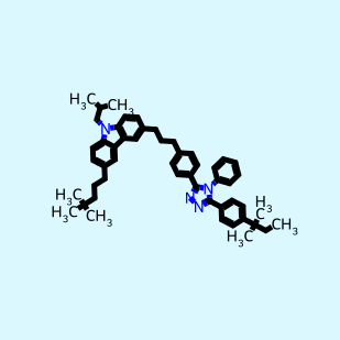 CCC(C)(C)c1ccc(-c2nnc(-c3ccc(CCCc4ccc5c(c4)c4cc(CCCC(C)(C)C)ccc4n5CC(C)C)cc3)n2-c2ccccc2)cc1